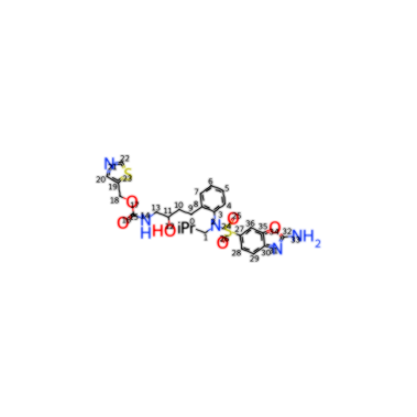 CC(C)CN(c1ccccc1CCC(O)CNC(=O)OCc1cncs1)S(=O)(=O)c1ccc2nc(N)oc2c1